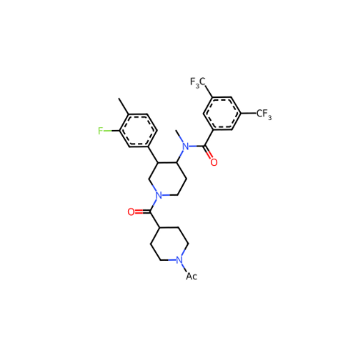 CC(=O)N1CCC(C(=O)N2CCC(N(C)C(=O)c3cc(C(F)(F)F)cc(C(F)(F)F)c3)C(c3ccc(C)c(F)c3)C2)CC1